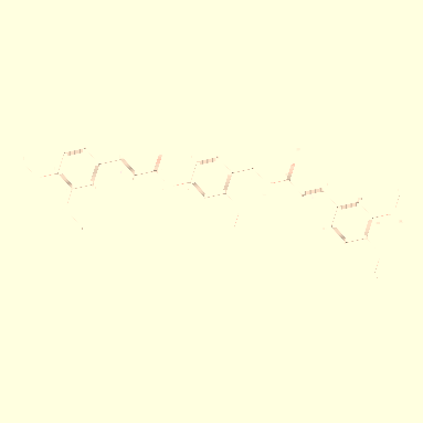 COc1cc(OC(=O)/C=C/c2ccc(OC)c(OC)c2)ccc1COC(=O)/C=C/c1ccc(OC)c(OC)c1